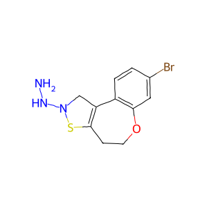 NNN1CC2=C(CCOc3cc(Br)ccc32)S1